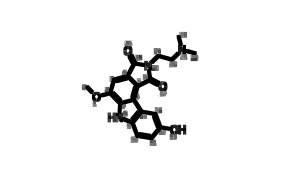 COc1cc2c(c3c1[nH]c1ccc(O)cc13)C(=O)N(CCN(C)C)C2=O